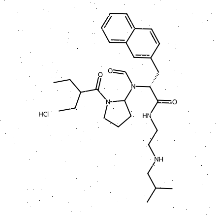 CCC(CC)C(=O)N1CCCC1N(C=O)[C@H](Cc1ccc2ccccc2c1)C(=O)NCCNCC(C)C.Cl